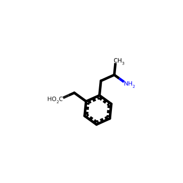 CC(N)Cc1ccccc1CC(=O)O